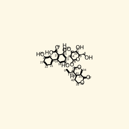 C=C[C@H]1[C@H](O[C@@H]2O[C@H](CO)[C@@H](O)[C@@H](O)[C@H]2c2c(O)cc(-c3cccc(O)c3)c(C(=O)O)c2O)OC=C2C(=O)OCC[C@H]21